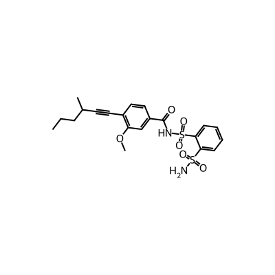 CCCC(C)C#Cc1ccc(C(=O)NS(=O)(=O)c2ccccc2S(N)(=O)=O)cc1OC